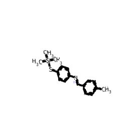 Cc1ccc(/C=N/c2ccc(S[Si](C)(C)C)cc2)cc1